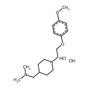 COc1ccc(OCCN2CCC(CN(C)C)CC2)cc1.Cl.Cl